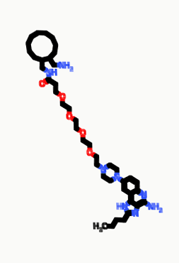 CCCCc1nc2c(N)nc3ccc(N4CCN(CCOCCOCCOCCOCCC(=O)NCC5CCCCCCCCCC5CN)CC4)cc3c2[nH]1